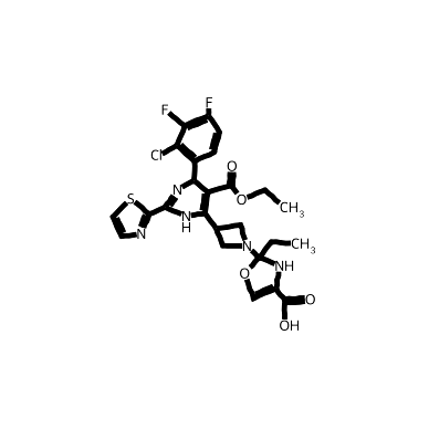 CCOC(=O)C1=C(C2CN(C3(CC)NC(C(=O)O)=CO3)C2)NC(c2nccs2)=NC1c1ccc(F)c(F)c1Cl